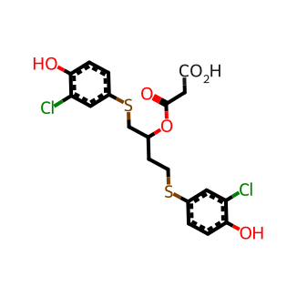 O=C(O)CC(=O)OC(CCSc1ccc(O)c(Cl)c1)CSc1ccc(O)c(Cl)c1